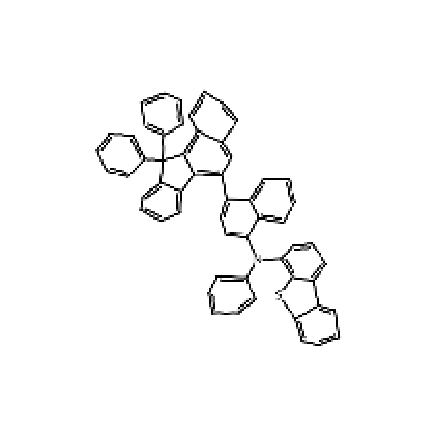 c1ccc(N(c2ccc(-c3cc4ccccc4c4c3-c3ccccc3C4(c3ccccc3)c3ccccc3)c3ccccc23)c2cccc3c2sc2ccccc23)cc1